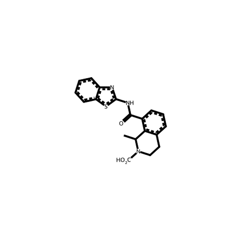 CC1c2c(cccc2C(=O)Nc2nc3ccccc3s2)CCN1C(=O)O